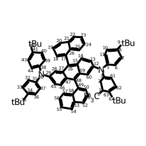 CC1CC(N(c2ccc(C(C)(C)C)cc2)c2ccc3c(-c4cccc5ccccc45)c4cc(N(c5ccc(C(C)(C)C)cc5)c5ccc(C(C)(C)C)cc5)ccc4c(-c4cccc5ccccc45)c3c2)=CC=C1C(C)(C)C